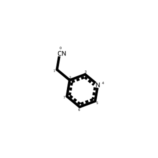 N#CCc1[c]nccc1